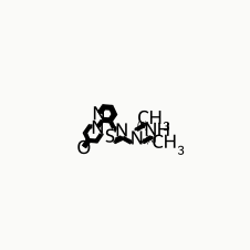 C[C@@H]1CN(Cc2csc(-c3cccnc3N3CCC(=O)CC3)n2)C[C@H](C)N1